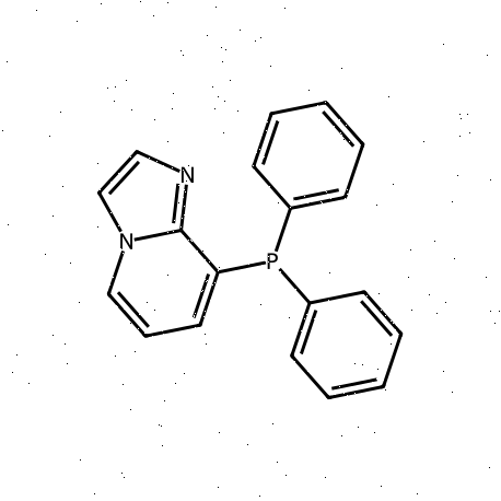 c1ccc(P(c2ccccc2)c2cccn3ccnc23)cc1